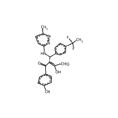 Cc1ccc(NC(/C(C(=O)c2ccc(C#N)cc2)=C(/O)C=O)c2ccc(C(C)(F)F)cc2)nn1